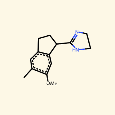 COc1cc2c(cc1C)CCC2C1=NCCN1